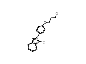 ClCCCOc1ccc(-n2nc3ccccc3c2Cl)cc1